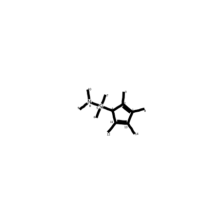 CC1=C(C)C([Si](C)(C)N(C)C)C(C)=C1C